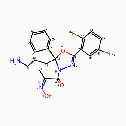 C/C(=N/O)C(=O)N1N=C(c2cc(F)ccc2F)OC1(CCCN)c1ccccc1